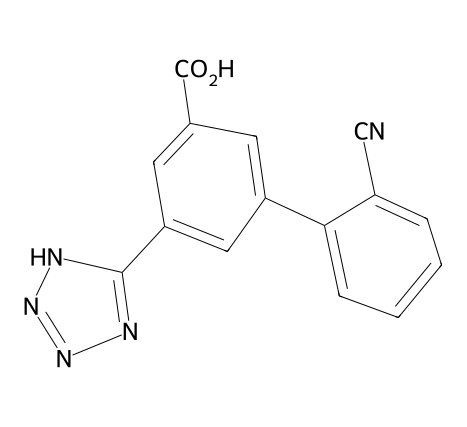 N#Cc1ccccc1-c1cc(C(=O)O)cc(-c2nnn[nH]2)c1